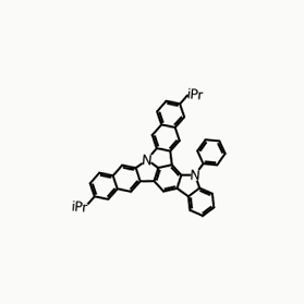 CC(C)c1ccc2cc3c(cc2c1)c1cc2c4ccccc4n(-c4ccccc4)c2c2c4cc5cc(C(C)C)ccc5cc4n3c12